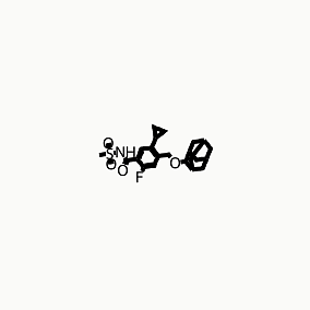 CS(=O)(=O)NC(=O)c1cc(C2CC2)c(COC2C3CC4CC(C3)CC2C4)cc1F